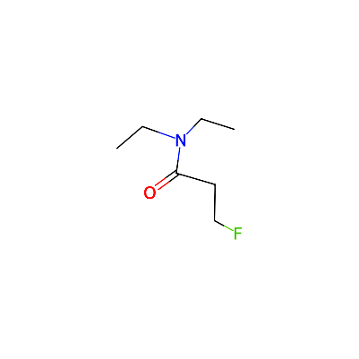 CCN(CC)C(=O)CCF